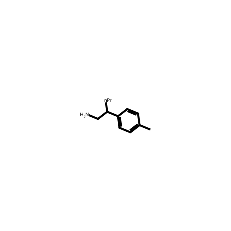 CCCC(CN)c1ccc(C)cc1